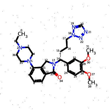 CCN1CCN(c2cccc3c2CN([C@H](CCCn2ncnn2)c2ccc(OC)c(OC)c2)C3=O)CC1